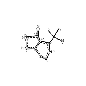 CCC(C)(C)c1ncnc2[nH][nH]c(=O)c12